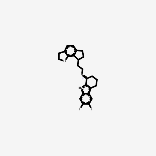 Fc1cc2[nH]c3c(c2cc1F)CCC/C3=N\CCC1CCc2ccc3c(c21)OCC3